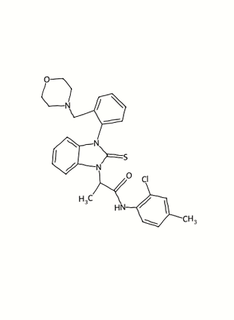 Cc1ccc(NC(=O)C(C)n2c(=S)n(-c3ccccc3CN3CCOCC3)c3ccccc32)c(Cl)c1